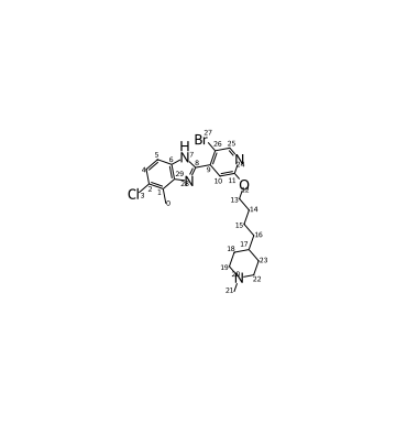 Cc1c(Cl)ccc2[nH]c(-c3cc(OCCCCC4CCN(C)CC4)ncc3Br)nc12